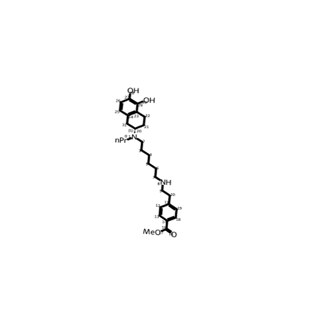 CCCN(CCCCCCNCCc1ccc(C(=O)OC)cc1)[C@H]1CCc2c(ccc(O)c2O)C1